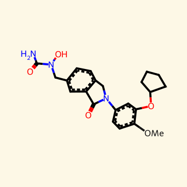 COc1ccc(N2Cc3ccc(CN(O)C(N)=O)cc3C2=O)cc1OC1CCCC1